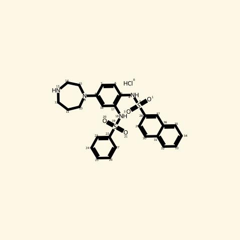 Cl.O=S(=O)(Nc1ccc(N2CCCNCC2)cc1NS(=O)(=O)c1ccccc1)c1ccc2ccccc2c1